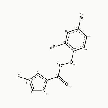 Cn1cnc(C(=O)OOc2ccc(Br)cc2F)c1